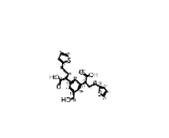 O=C(O)C(CCc1cccs1)c1cc(CO)cc(C(CCc2cccs2)C(=O)O)c1